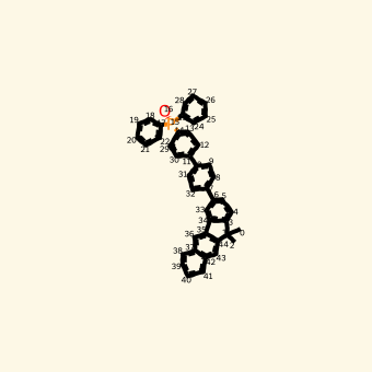 CC1(C)c2ccc(-c3ccc(-c4ccc(P(=O)(c5ccccc5)c5ccccc5)cc4)cc3)cc2-c2cc3ccccc3cc21